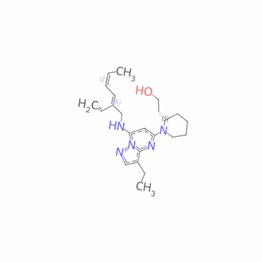 C=C/C(=C\C=C/C)CNc1cc(N2CCCC[C@H]2CCO)nc2c(CC)cnn12